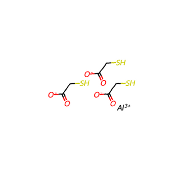 O=C([O-])CS.O=C([O-])CS.O=C([O-])CS.[Al+3]